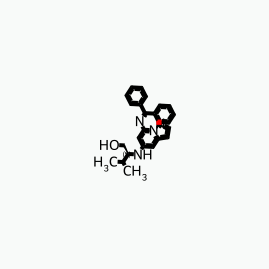 CC(C)[C@@H](CO)Nc1cc(N=C(c2ccccc2)c2ccccc2)n2nccc2c1